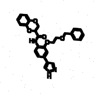 O=C(Nc1ccc(-c2cn[nH]c2)cc1OCCOCc1ccccc1)C1COc2ccccc2O1